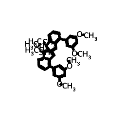 COc1cc(OC)cc(-c2cccc3c2C=C[CH]3[Hf]([CH3])([CH3])([CH3])([CH3])(=[SiH2])[CH]2C=Cc3c(-c4cc(OC)cc(OC)c4)cccc32)c1